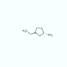 [CH2][C@H]1CCN(CC)C1